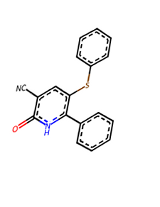 N#Cc1cc(Sc2ccccc2)c(-c2ccccc2)[nH]c1=O